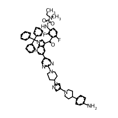 CCN(C)S(=O)(=O)Nc1ccc(F)c(C(=O)c2cn(C(c3ccccc3)(c3ccccc3)c3ccccc3)c3ncc(-c4cnc(N5CCC(n6cc(N7CCC(c8ccc(N)cc8)CC7)cn6)CC5)nc4)cc23)c1F